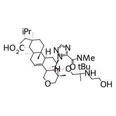 CNC(=O)c1ncnn1[C@@H]1C[C@@]23COC[C@](C)([C@@H]2CC[C@H]2C3=CC[C@@]3(C)[C@H](C(=O)O)[C@@](C)([C@H](C)C(C)C)CC[C@]23C)[C@H]1OC[C@](C)(NCCO)C(C)(C)C